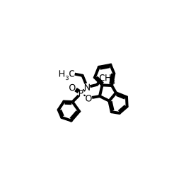 CCN(CC)[P@@](=O)(OC1c2ccccc2-c2ccccc21)c1ccccc1